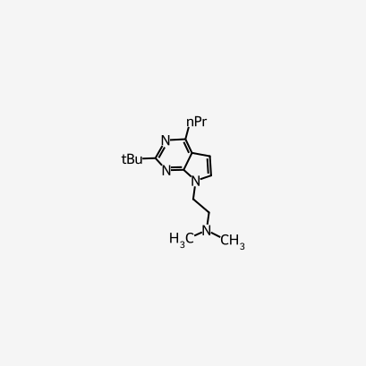 CCCc1nc(C(C)(C)C)nc2c1ccn2CCN(C)C